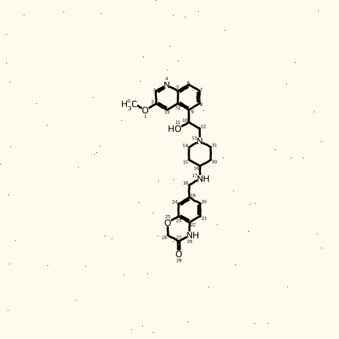 COc1cnc2cccc(C(O)CN3CCC(NCc4ccc5c(c4)OCC(=O)N5)CC3)c2c1